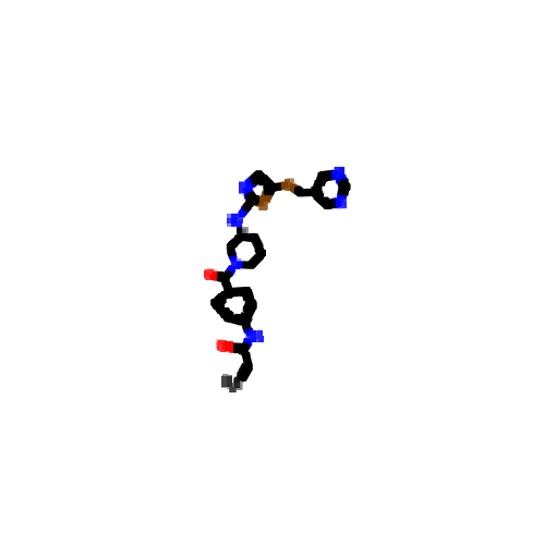 C=CC(=O)Nc1ccc(C(=O)N2CCC[C@@H](Nc3ncc(SCc4cncnc4)s3)C2)cc1